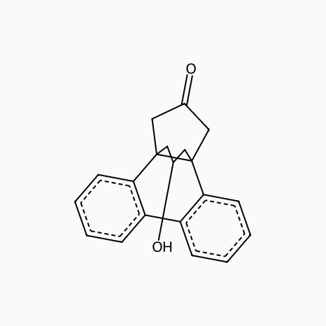 O=C1CC23CC(O)CC2(C1)c1ccccc1-c1ccccc13